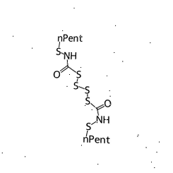 CCCCCSNC(=O)SSSSC(=O)NSCCCCC